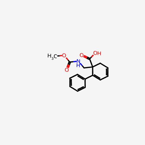 COC(=O)NCC1(C(=O)O)CC=CC=C1c1ccccc1